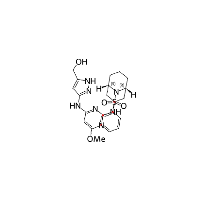 COc1cc(Nc2cc(CO)[nH]n2)nc(NC2C[C@H]3CCC[C@@H](C2)N3S(=O)(=O)c2ccccc2)n1